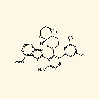 COc1cccc2[nH]c(-c3c(N)ncc(-c4cc(F)cc(C#N)c4)c3N3CC[C@@H]4NCCO[C@H]4C3)nc12